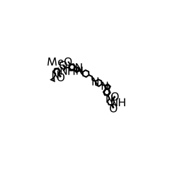 COc1cc2nn(C3CCC(CCN4CCC(n5ccc6cc(N7CCC(=O)NC7=O)ccc65)CC4)CC3)cc2cc1C(=O)Nc1cccn(C2CC2)c1=O